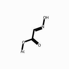 CC(=O)OC(=O)C=NO